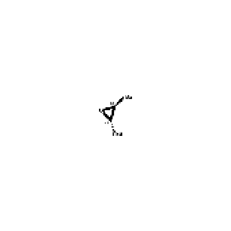 CCCC[C@@H]1O[C@H]1CCCC